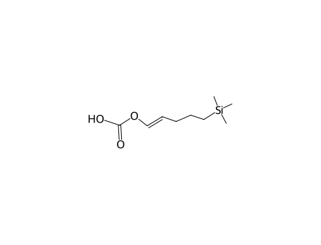 C[Si](C)(C)CCCC=COC(=O)O